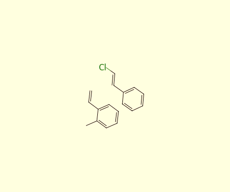 C=Cc1ccccc1C.ClC=Cc1ccccc1